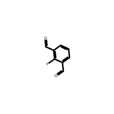 O=Cc1cccc(C=O)c1F